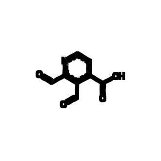 O=Cc1nccc(C(=O)O)c1C=O